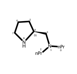 CCCN(CCC)C[C@@H]1CCCN1